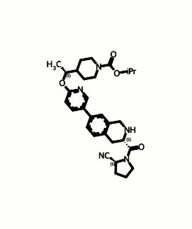 CC(C)OC(=O)N1CCC([C@H](C)Oc2ccc(-c3ccc4c(c3)CN[C@H](C(=O)N3CCC[C@H]3C#N)C4)cn2)CC1